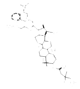 COCCO[C@@H](CN(CCN(C)C)Cc1ccccn1)[C@@H]1C(=O)C(C(C)C)=C2C1CC[C@]1(C)[C@@H]2CC[C@@H]2[C@@]3(C)CC[C@H](OC(=O)CC(C)(C)C(=O)O)C(C)(C)[C@H]3CC[C@]21C